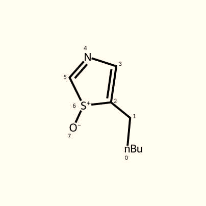 CCCCCc1cnc[s+]1[O-]